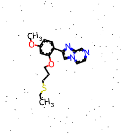 CCSCCCOc1cc(OC)ccc1-c1cn2ccncc2n1